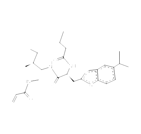 C=CC(=O)NC[C@@H](NC(=O)[C@H](Cc1nc2ccc(C(C)C)cc2s1)NC(=O)CCC)[C@@H](C)CC